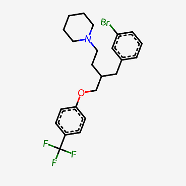 FC(F)(F)c1ccc(OCC(CCN2CCCCC2)Cc2cccc(Br)c2)cc1